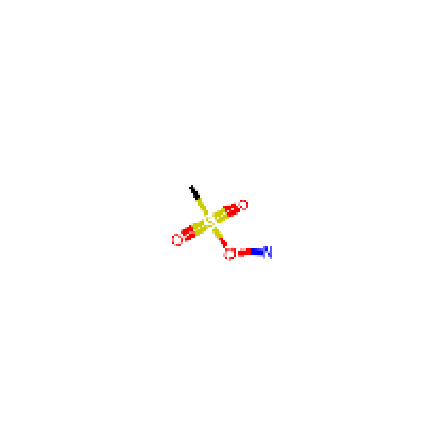 CS(=O)(=O)O[N]